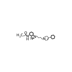 CCC(=O)Nc1cccc2c1ncn2CCCCN1CC=C(c2ccccc2)CC1